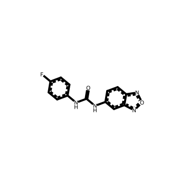 O=C(Nc1ccc(F)cc1)Nc1ccc2nonc2c1